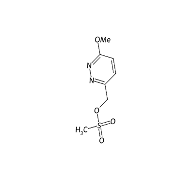 COc1ccc(COS(C)(=O)=O)nn1